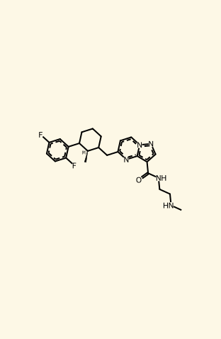 CNCCNC(=O)c1cnn2ccc(CC3CCCC(c4cc(F)ccc4F)[C@@H]3C)nc12